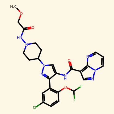 COCC(=O)NN1CCC(n2cc(NC(=O)c3cnn4cccnc34)c(-c3cc(Cl)ccc3OC(F)F)n2)CC1